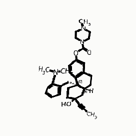 CC#CC1(O)CC[C@@]2(Cc3ccccc3N(C)C)c3ccc(OC(=O)N4CCN(C)CC4)cc3CC[C@@H]2C1